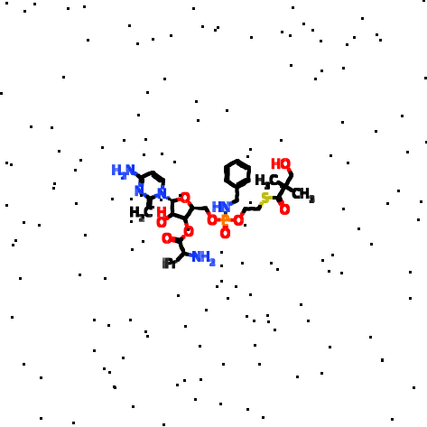 C=C1N=C(N)C=CN1[C@@H]1O[C@@H](COP(=O)(NCc2ccccc2)OCCSC(=O)C(C)(C)CO)C(OC(=O)C(N)C(C)C)C1O